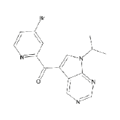 CC(C)n1cc(C(=O)c2cc(Br)ccn2)c2cncnc21